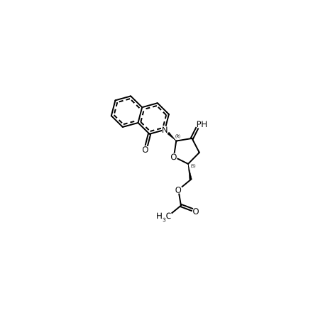 CC(=O)OC[C@@H]1CC(=P)[C@H](n2ccc3ccccc3c2=O)O1